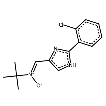 CC(C)(C)/[N+]([O-])=C/c1c[nH]c(-c2ccccc2Cl)n1